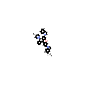 CC(=O)C1CCN(Cc2ccccc2-c2c3cc/c(=[N+]4/CCc5cc(C)ccc54)cc-3oc3cc(N4CCc5ccccc54)ccc23)CC1